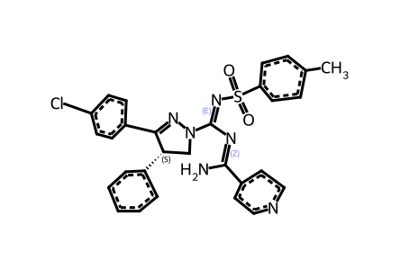 Cc1ccc(S(=O)(=O)/N=C(\N=C(/N)c2ccncc2)N2C[C@H](c3ccccc3)C(c3ccc(Cl)cc3)=N2)cc1